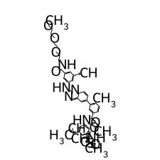 C#Cc1cc(Nc2ncc3cc(-c4cc(C(=O)Nc5cc(C(C)(C)C)cc(NS(C)(=O)=O)c5OC)ccc4C)ccc3n2)cc(C(=O)NCCOCCOCCOC)c1